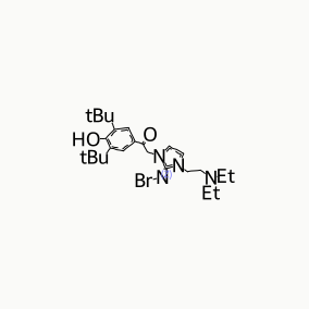 CCN(CC)CCn1ccn(CC(=O)c2cc(C(C)(C)C)c(O)c(C(C)(C)C)c2)/c1=N\Br